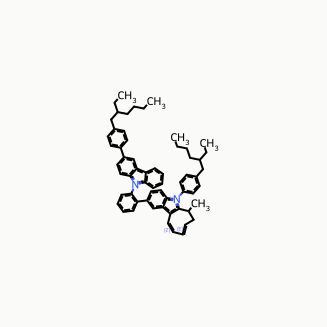 CCCCC(CC)Cc1ccc(-c2ccc3c(c2)c2ccccc2n3-c2ccccc2-c2ccc3c(c2)c2c(n3-c3ccc(CC(CC)CCCC)cc3)C(C)C/C=C/C=C\2)cc1